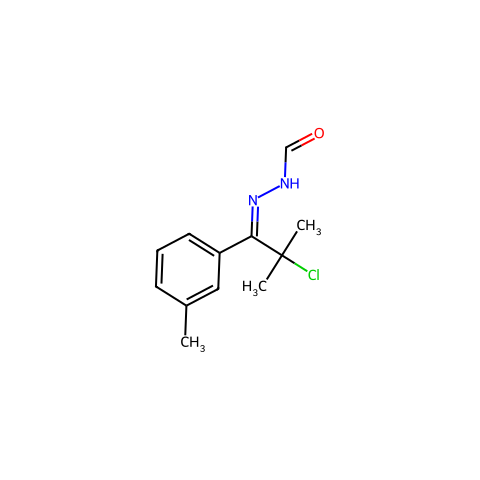 Cc1cccc(C(=NNC=O)C(C)(C)Cl)c1